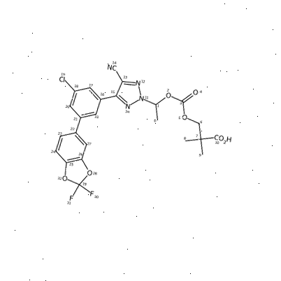 CC(OC(=O)OCC(C)(C)C(=O)O)n1nc(C#N)c(-c2cc(Cl)cc(-c3ccc4c(c3)OC(F)(F)O4)c2)n1